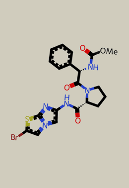 COC(=O)N[C@H](C(=O)N1CCC[C@@H]1C(=O)Nc1cn2cc(Br)sc2n1)c1ccccc1